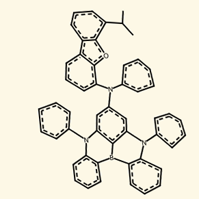 CC(C)c1cccc2c1oc1c(N(c3ccccc3)c3cc4c5c(c3)N(c3ccccc3)c3ccccc3B5c3ccccc3N4c3ccccc3)cccc12